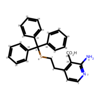 Nc1nccc(CCSC(c2ccccc2)(c2ccccc2)c2ccccc2)c1C(=O)O